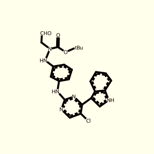 CC(C)(C)OC(=O)N(CC=O)Nc1cccc(Nc2ncc(Cl)c(-c3c[nH]c4ccccc34)n2)c1